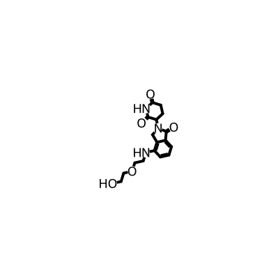 O=C1CCC(N2Cc3c(NCCOCCO)cccc3C2=O)C(=O)N1